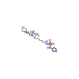 CP(C)(=O)N(CCCCCCCCNc1c(Nc2ccncc2)c(=O)c1=O)CCCN1CCOCC1